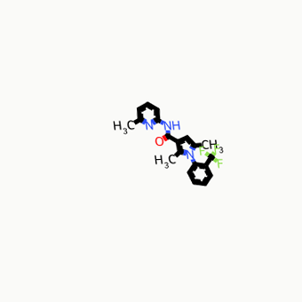 Cc1cccc(NC(=O)c2cc(C)n(-c3ccccc3C(F)(F)F)c2C)n1